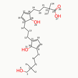 CC(C)(CO)CCCC1=CC=C(CCCC2=CC=C(CCCC(C)(C)C(=O)O)C2O)C1O